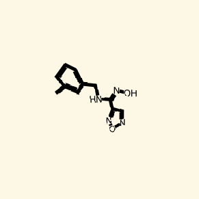 Cc1cccc(CNC(=NO)c2cnon2)c1